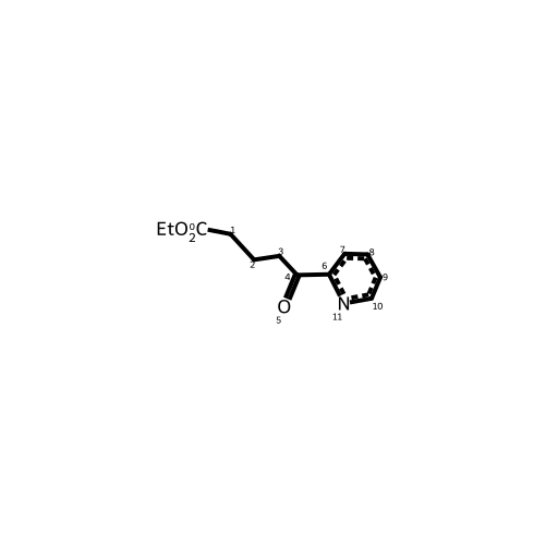 CCOC(=O)CCCC(=O)c1ccccn1